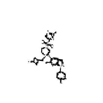 Cc1cc2c(cnn2-c2ccc(F)cc2)cc1[C@@H]1CN(S(=O)(=O)c2cnn(C)n2)CCN1CC1CC(F)C1